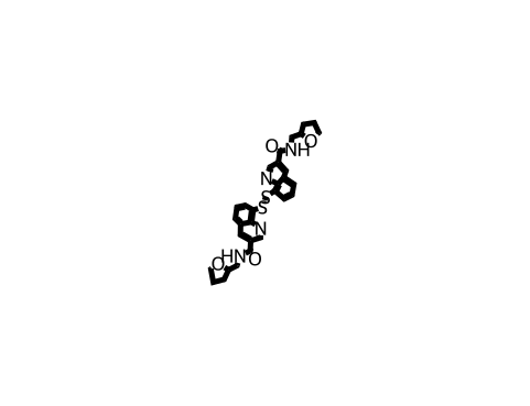 O=C(NCC1CCCO1)c1cnc2c(SSc3cccc4cc(C(=O)NCC5CCCO5)cnc34)cccc2c1